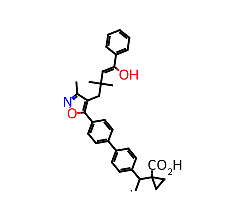 [CH2]C(c1ccc(-c2ccc(-c3onc(C)c3CC(C)(C)/C=C(\O)c3ccccc3)cc2)cc1)C1(C(=O)O)CC1